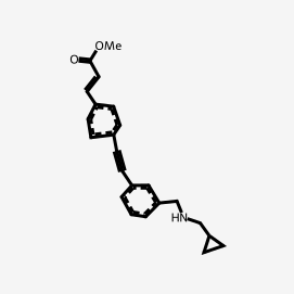 COC(=O)/C=C/c1ccc(C#Cc2cccc(CNCC3CC3)c2)cc1